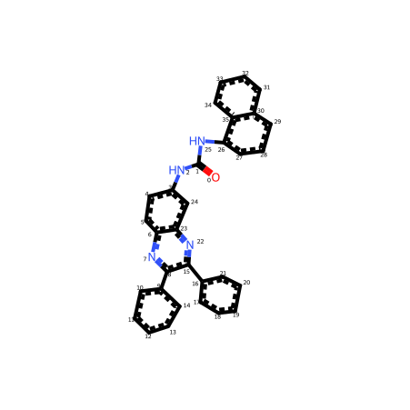 O=C(Nc1ccc2nc(-c3ccccc3)c(-c3ccccc3)nc2c1)Nc1cccc2ccccc12